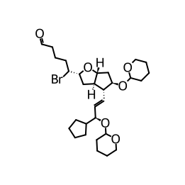 O=CCCCC(Br)[C@H]1C[C@@H]2[C@@H](C=C[C@@H](OC3CCCCO3)C3CCCC3)[C@H](OC3CCCCO3)C[C@H]2O1